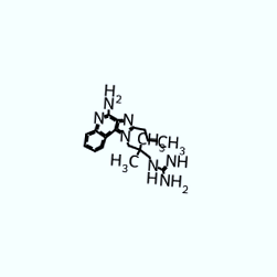 CCCc1nc2c(N)nc3ccccc3c2n1CC(C)(C)CNC(=N)N